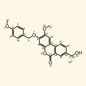 COc1ccc(COc2cc3oc(=O)c4cc([C@@H](C)O)ccc4c3cc2OC)cc1